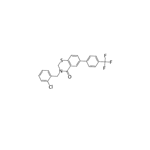 O=C1c2cc(-c3ccc(C(F)(F)F)cc3)ccc2SCN1Cc1ccccc1Cl